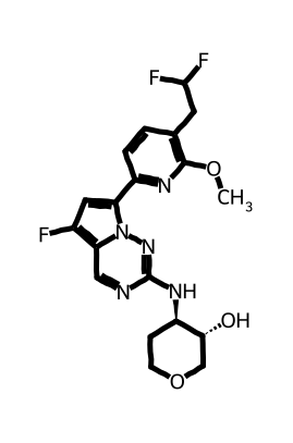 COc1nc(-c2cc(F)c3cnc(N[C@@H]4CCOC[C@H]4O)nn23)ccc1CC(F)F